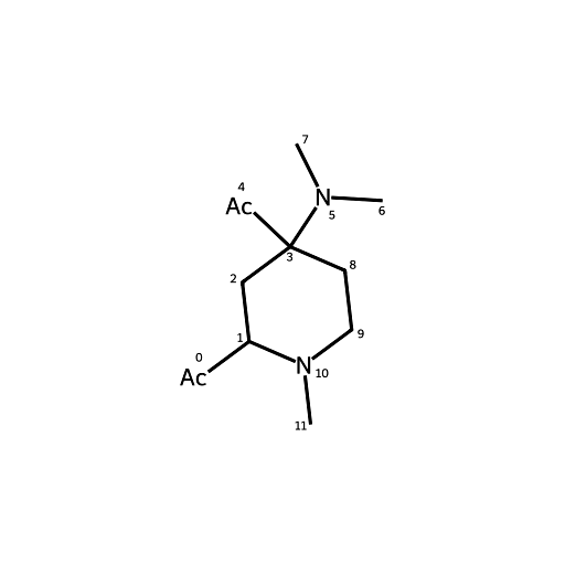 CC(=O)C1CC(C(C)=O)(N(C)C)CCN1C